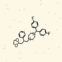 Fc1ccc(C(c2ccc(F)cc2)N2CCN(CC(CC3OCCO3)c3ccccc3)CC2)cc1